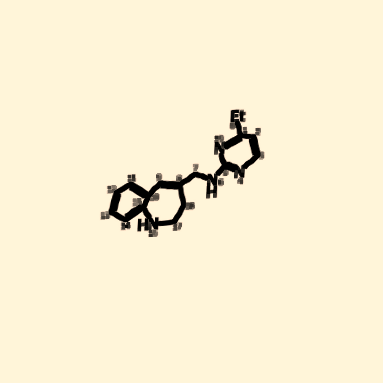 CCc1ccnc(NCC2=Cc3ccccc3NCC2)n1